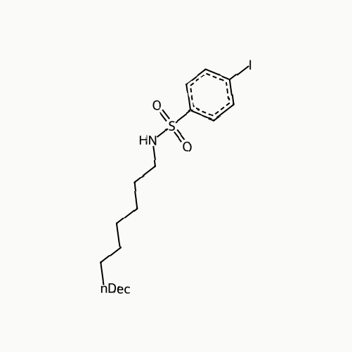 CCCCCCCCCCCCCCCCNS(=O)(=O)c1ccc(I)cc1